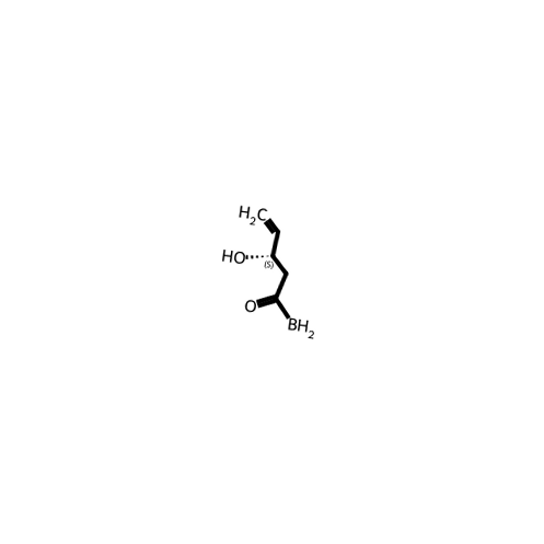 BC(=O)C[C@H](O)C=C